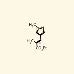 CCOC(=O)/C(C)=C/c1cnn(C)c1